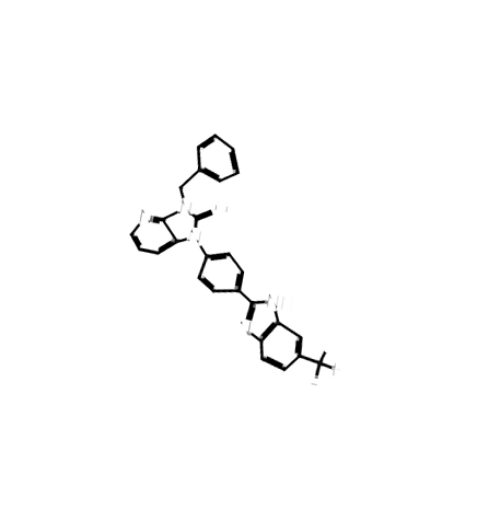 O=c1n(Cc2ccccc2)c2ncccc2n1-c1ccc(-c2nc3ccc(C(F)(F)F)cc3[nH]2)cc1